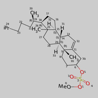 COOS(=O)(=O)OC1CC[C@@]2(C)C(=CC[C@H]3[C@@H]4CC[C@H]([C@H](C)CCCC(C)C)C4(C)CC[C@@H]32)C1